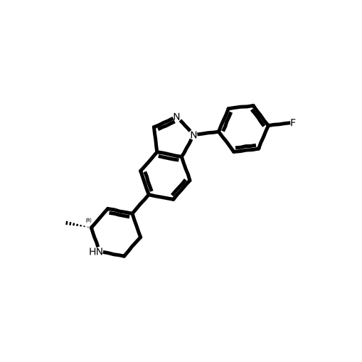 C[C@@H]1C=C(c2ccc3c(cnn3-c3ccc(F)cc3)c2)CCN1